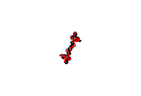 CC(C)c1ccc(-n2c3ccccc3c3cccc(N(c4ccccc4)c4ccc5c(c4)oc4cc6cc7c(cc6cc45)oc4cc(N(c5ccccc5)c5cccc6c8ccccc8n(-c8ccc(C(C)C)cc8)c56)ccc47)c32)cc1